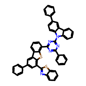 c1ccc(-c2cc(-c3nc4ccccc4s3)c3sc4c(-c5nc(-c6ccccc6)nc(-n6c7ccccc7c7cc(-c8ccccc8)ccc76)n5)cccc4c3c2)cc1